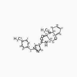 Cc1ccc(Cn2cc(C(=O)N[C@H]3COC4=CC=CCC4N(C)C3=O)cn2)cc1